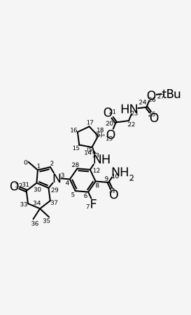 Cc1cn(-c2cc(F)c(C(N)=O)c(N[C@H]3CCC[C@@H]3OC(=O)CNC(=O)OC(C)(C)C)c2)c2c1C(=O)CC(C)(C)C2